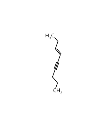 CCC=CC#CCCC